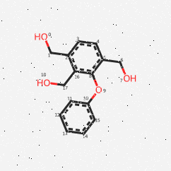 OCc1[c]cc(CO)c(Oc2ccccc2)c1CO